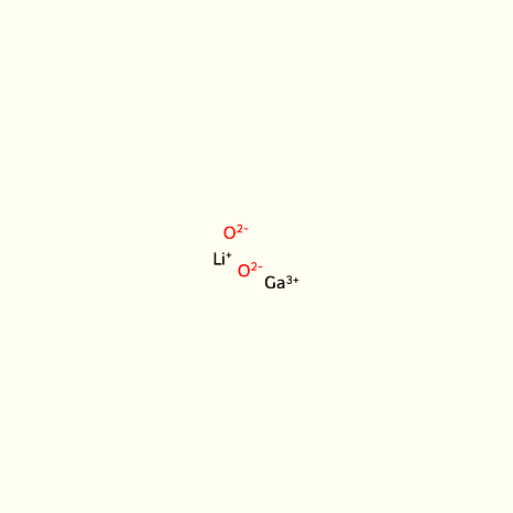 [Ga+3].[Li+].[O-2].[O-2]